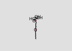 CCCCCCCCCOCCC=CCCCCCC(C(=O)O)C(CO)CO